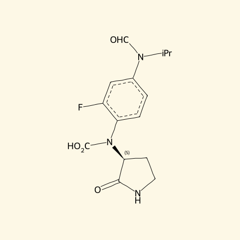 CC(C)N(C=O)c1ccc(N(C(=O)O)[C@H]2CCNC2=O)c(F)c1